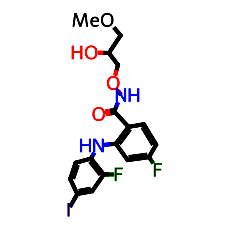 COCC(O)CONC(=O)c1ccc(F)cc1Nc1ccc(I)cc1F